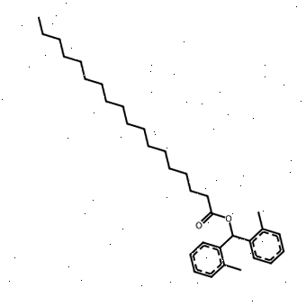 CCCCCCCCCCCCCCCCCC(=O)OC(c1ccccc1C)c1ccccc1C